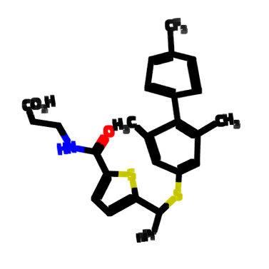 CCCC(Sc1cc(C)c(-c2ccc(C(F)(F)F)cc2)c(C)c1)c1ccc(C(=O)NCCC(=O)O)s1